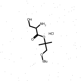 CC(C)(C)OCC(C)(C)OC(=O)C(N)CO.Cl